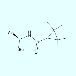 CC(=O)[C@@H](NC(=O)C1C(C)(C)C1(C)C)C(C)(C)C